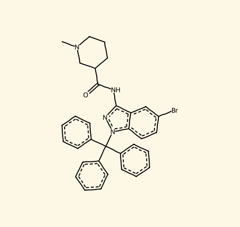 CN1CCCC(C(=O)Nc2nn(C(c3ccccc3)(c3ccccc3)c3ccccc3)c3ccc(Br)cc23)C1